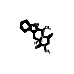 C[C@@H]1c2[nH]c3ccccc3c2C[C@@H]2C(=O)N(C)CC(=O)N21